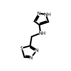 c1nnc(CNc2cn[nH]c2)s1